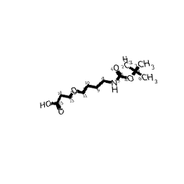 CC(C)(C)OC(=O)NCCCCOCCC(=O)O